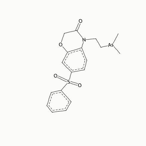 C[As](C)CCN1C(=O)COc2cc(S(=O)(=O)c3ccccc3)ccc21